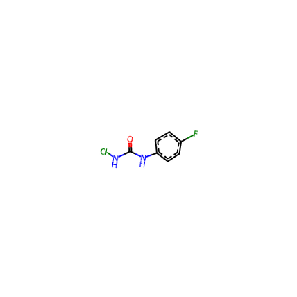 O=C(NCl)Nc1ccc(F)cc1